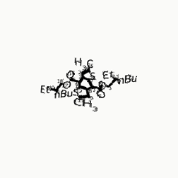 CCCCC(CC)COC(=O)c1c2cc(C)sc2c(C(=O)OCC(CC)CCCC)c2cc(C)sc12